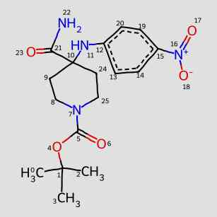 CC(C)(C)OC(=O)N1CCC(Nc2ccc([N+](=O)[O-])cc2)(C(N)=O)CC1